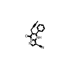 CC#CCc1c(-c2ccccc2)[nH]c2c(C#N)cnn2c1=O